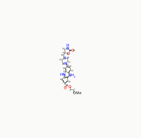 COCCOC(=O)c1ccc(Nc2cccc(N3CCN(CC4CNC(=O)O4)CC3)c2)c(N)c1